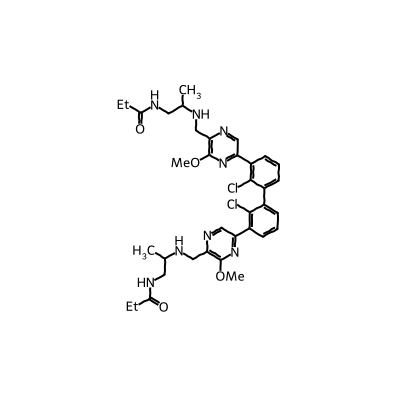 CCC(=O)NCC(C)NCc1ncc(-c2cccc(-c3cccc(-c4cnc(CNC(C)CNC(=O)CC)c(OC)n4)c3Cl)c2Cl)nc1OC